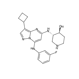 O[C@H]1CCNC[C@@H]1Nc1cc(Nc2cccc(F)c2)n2ncc(C3CCC3)c2n1